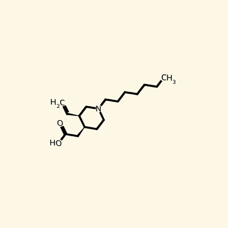 C=C[C@H]1CN(CCCCCCC)CC[C@H]1CC(=O)O